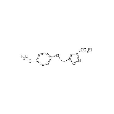 CCOC(=O)c1cc(COc2ccc(OC(F)(F)F)cc2)on1